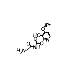 CC(C)Oc1ccnc(OC(=O)NC(=O)CN)c1O